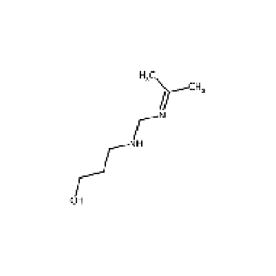 CC(C)=NCNCCCO